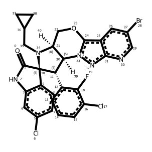 O=C1Nc2cc(Cl)ccc2[C@@]12[C@@H](c1cccc(Cl)c1F)[C@H]1[C@H](COc3c4cc(Br)cnc4nn31)N2CC1CC1